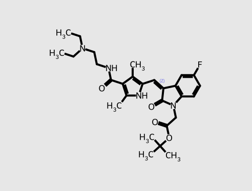 CCN(CC)CCNC(=O)c1c(C)[nH]c(/C=C2\C(=O)N(CC(=O)OC(C)(C)C)c3ccc(F)cc32)c1C